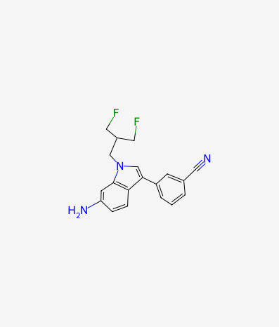 N#Cc1cccc(-c2cn(CC(CF)CF)c3cc(N)ccc23)c1